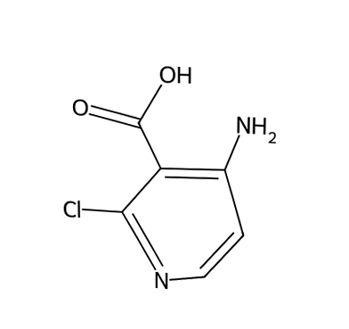 Nc1ccnc(Cl)c1C(=O)O